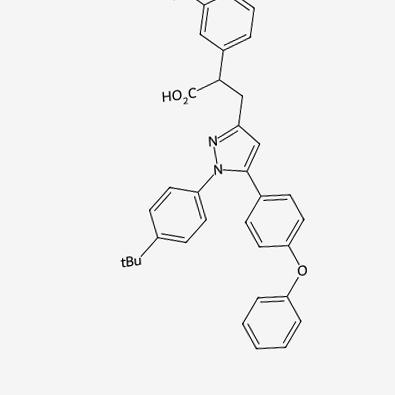 Cc1cccc(C(Cc2cc(-c3ccc(Oc4ccccc4)cc3)n(-c3ccc(C(C)(C)C)cc3)n2)C(=O)O)c1